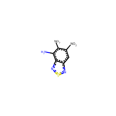 Nc1c([N+](=O)[O-])c([N+](=O)[O-])cc2nsnc12